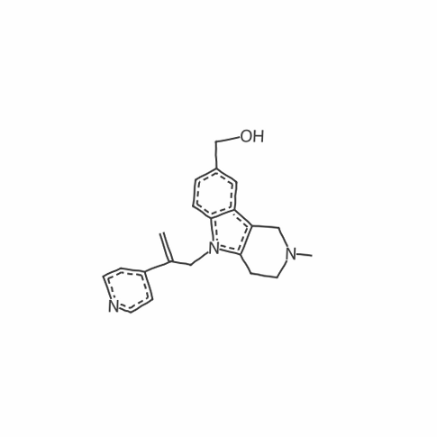 C=C(Cn1c2c(c3cc(CO)ccc31)CN(C)CC2)c1ccncc1